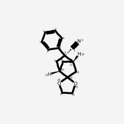 N#C[C@@]1(c2ccccc2)C[C@@H]2C[C@H]1CC21OCCO1